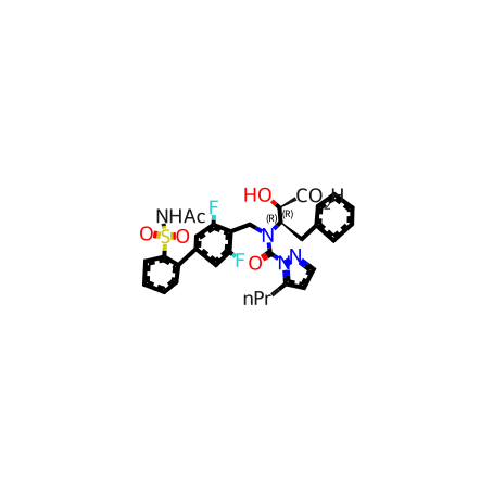 CCCc1ccnn1C(=O)N(Cc1c(F)cc(-c2ccccc2S(=O)(=O)NC(C)=O)cc1F)[C@H](Cc1ccccc1)[C@@H](O)C(=O)O